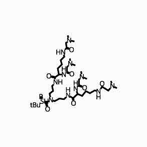 CN(C)CC(=O)NCCCCC(NC(=O)CN(C)C)C(=O)NCCCN(CCCNC(=O)C(CCCCNC(=O)CN(C)C)NC(=O)CN(C)C)C(=O)[SH](#P)C(C)(C)C